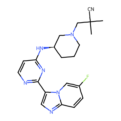 CC(C)(C#N)CN1CCC[C@@H](Nc2ccnc(-c3cnc4ccc(F)cn34)n2)C1